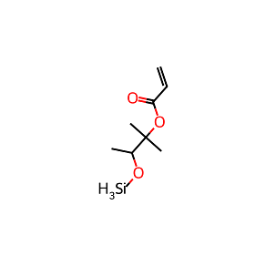 C=CC(=O)OC(C)(C)C(C)O[SiH3]